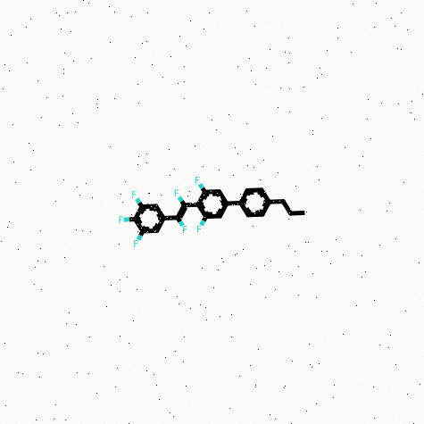 CCCc1ccc(-c2cc(F)c(C(F)=C(F)c3cc(F)c(F)c(F)c3)c(F)c2)cc1